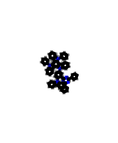 c1ccc(-c2nc(-c3ccccc3)nc(-c3cc(-n4c5ccccc5c5c6c(c7ccccc7n6-c6ccccc6)c6c(c7ccccc7n6-c6ccccc6)c54)ccc3-n3c4ccccc4c4ccccc43)n2)cc1